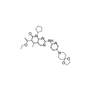 C=C(OCC)c1c(C)c2cnc(Nc3ccc(N4CCC5(CC4)OCCO5)cn3)nc2n(C2CCCC2)c1=O